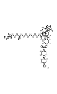 CN1CCN(C2CCN(C(=O)Oc3ccc4c(c3)C[C@@H](CCCCCCCCC[S+]([O-])CCCC(F)(F)C(F)(F)F)[C@@H]3[C@@H]4CC[C@]4(C)[C@@H](O)CC[C@@H]34)CC2)CC1